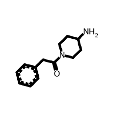 NC1CCN(C(=O)Cc2ccccc2)CC1